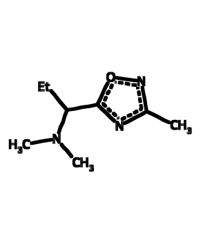 CCC(c1nc(C)no1)N(C)C